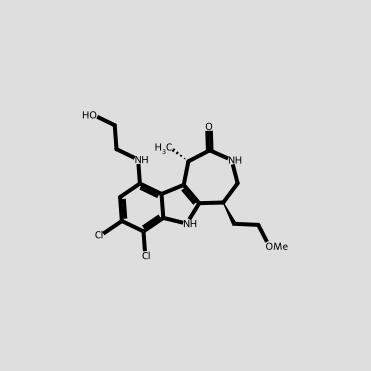 COCC[C@@H]1CNC(=O)[C@@H](C)c2c1[nH]c1c(Cl)c(Cl)cc(NCCO)c21